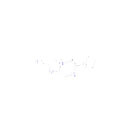 Nc1nc2cnc(N3CCC3)cn2n1